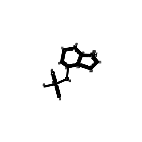 CS(=O)(=O)Oc1ccnc2[nH]ccc12